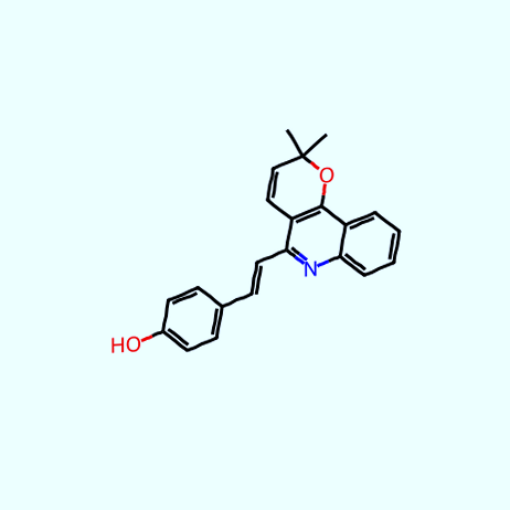 CC1(C)C=Cc2c(C=Cc3ccc(O)cc3)nc3ccccc3c2O1